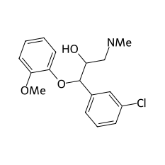 CNCC(O)C(Oc1ccccc1OC)c1cccc(Cl)c1